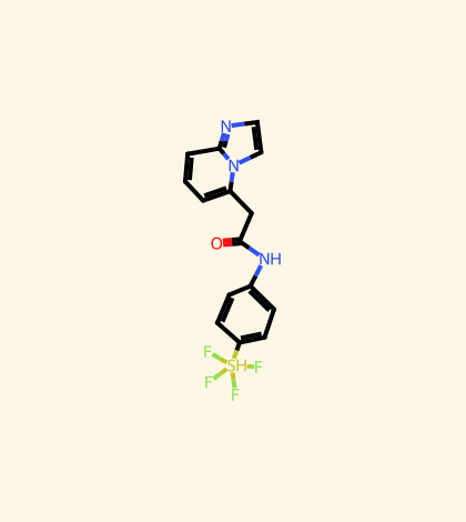 O=C(Cc1cccc2nccn12)Nc1ccc([SH](F)(F)(F)F)cc1